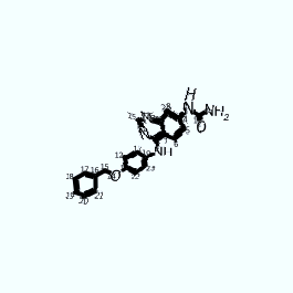 NC(=O)Nc1ccc2c(Nc3ccc(OCc4ccccc4)cc3)ncnc2c1